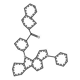 O=C(c1cccc(-n2c3ccccc3c3ccc4c(ccn4-c4ccccc4)c32)c1)c1ccc2ccccc2c1